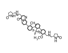 COc1nc(-c2cccc(-c3cccc(-c4ccn5c(=O)c(CNC[C@@H]6CCC(=O)N6)cnc5c4)c3C)c2C(F)(F)F)ccc1CNC[C@H]1CCC(=O)N1